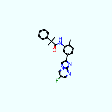 Cc1ccc(-c2cn3cc(F)cnc3n2)cc1NC(=O)C(C)(C)c1ccccc1